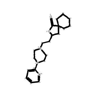 O=C1OC(CCN2CCN(c3ccccn3)CC2)CC12CCCCC2